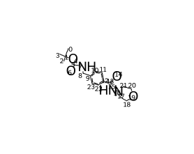 CC(C)(C)OC(=O)NCc1ccc(C(=O)NN2CCOCC2)cc1